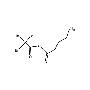 CCCCC(=O)OC(=O)C(Br)(Br)Br